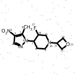 Cc1c([N+](=O)[O-])cnn1C1CCN(C2COC2)CC1F